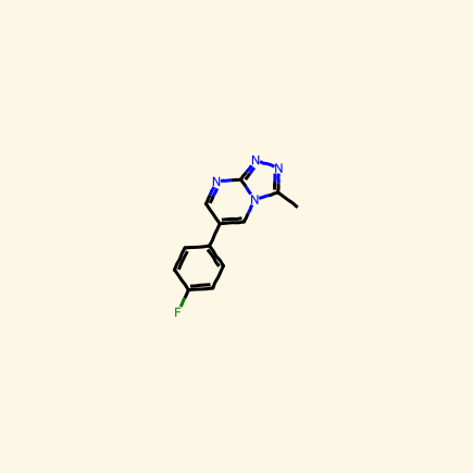 Cc1nnc2ncc(-c3ccc(F)cc3)cn12